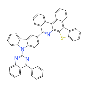 c1ccc(-c2nc(-n3c4ccccc4c4cc(-c5nc6c7sc8ccccc8c7c7ccccc7c6c6ccccc56)ccc43)nc3ccccc23)cc1